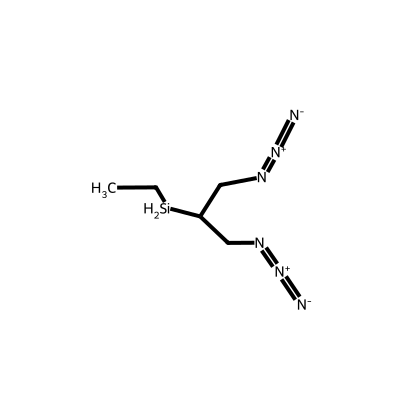 CC[SiH2]C(CN=[N+]=[N-])CN=[N+]=[N-]